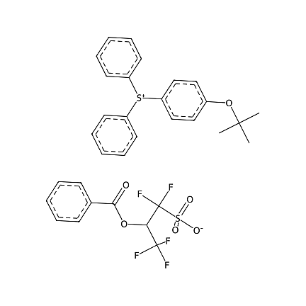 CC(C)(C)Oc1ccc([S+](c2ccccc2)c2ccccc2)cc1.O=C(OC(C(F)(F)F)C(F)(F)S(=O)(=O)[O-])c1ccccc1